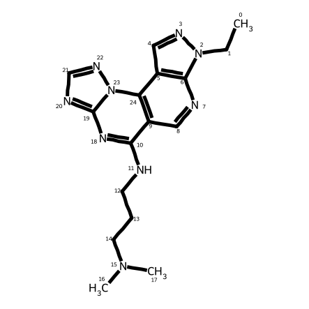 CCn1ncc2c1ncc1c(NCCCN(C)C)nc3ncnn3c12